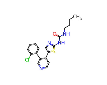 CCCCNC(=O)Nc1ncc(-c2ccncc2-c2ccccc2Cl)s1